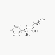 CCCOCC(O)CN(CC)c1ccccc1